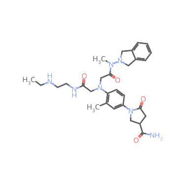 CCNCCNC(=O)CN(CC(=O)N(C)N1Cc2ccccc2C1)c1ccc(N2CC(C(N)=O)CC2=O)cc1C